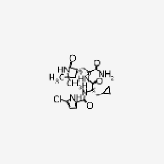 CC1(C)C[C@@H](C[C@H](NC(=O)[C@H](CC2CC2)NC(=O)c2ccc(Cl)[nH]2)C(N)=O)C(=O)N1